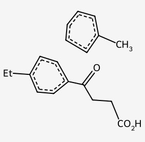 CCc1ccc(C(=O)CCC(=O)O)cc1.Cc1ccccc1